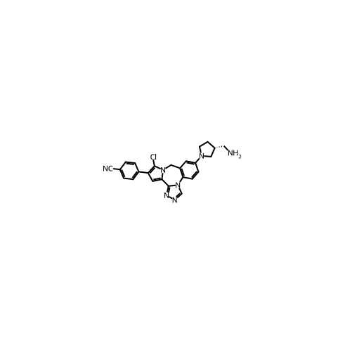 N#Cc1ccc(-c2cc3n(c2Cl)Cc2cc(N4CC[C@H](CN)C4)ccc2-n2cnnc2-3)cc1